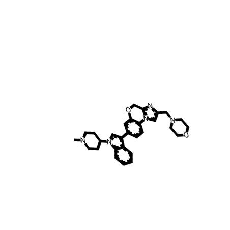 CN1CCC(n2cc(-c3ccc4c(c3)OCc3nc(CN5CCOCC5)cn3-4)c3ccccc32)CC1